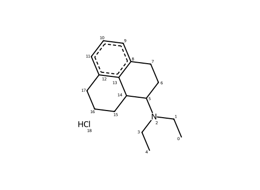 CCN(CC)C1CCc2cccc3c2C1CCC3.Cl